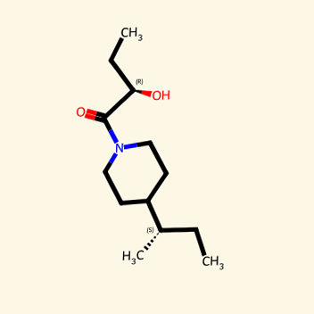 CC[C@@H](O)C(=O)N1CCC([C@@H](C)CC)CC1